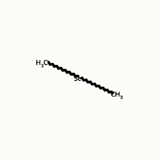 CCCCCCCCCCCCCCCC[Se]CCCCCCCCCCCCCCCC